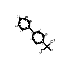 CC(F)(F)c1ccc(-c2[c]cccc2)cc1